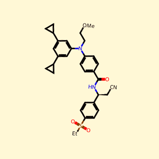 CCS(=O)(=O)c1ccc([C@H](CC#N)NC(=O)c2ccc(N(CCOC)c3cc(C4CC4)cc(C4CC4)c3)cc2)cc1